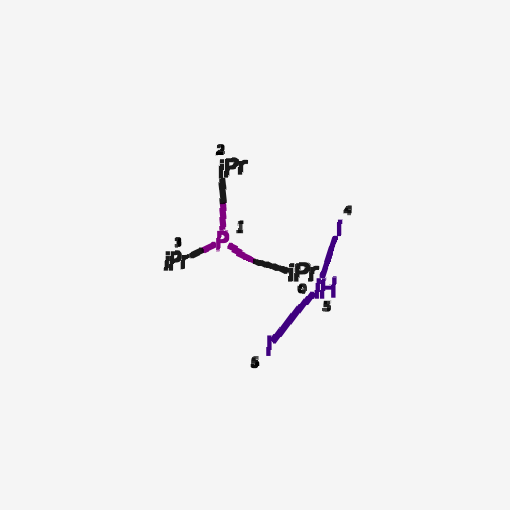 CC(C)P(C(C)C)C(C)C.I[IH]I